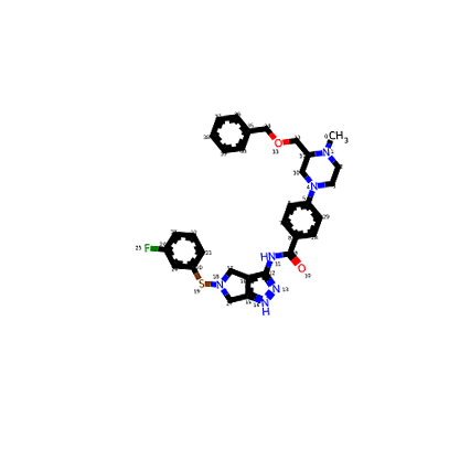 CN1CCN(c2ccc(C(=O)Nc3n[nH]c4c3CN(Sc3cccc(F)c3)C4)cc2)CC1COCc1ccccc1